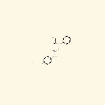 COc1ccc(N(C)C(=O)CN(C(=O)CN)c2ccccc2)cc1